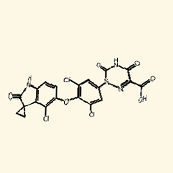 O=C(O)c1nn(-c2cc(Cl)c(Oc3ccc4c(c3Cl)C3(CC3)C(=O)N4)c(Cl)c2)c(=O)[nH]c1=O